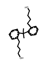 CC(C)(c1ccccc1CCCCO)c1ccccc1CCCCO